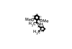 C=C(NCC1CCCN1C)c1c(OC)cccc1OC